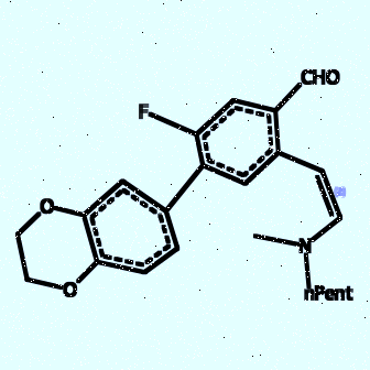 CCCCCN(C)/C=C\c1cc(-c2ccc3c(c2)OCCO3)c(F)cc1C=O